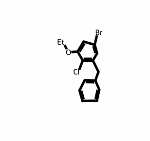 CCOc1cc(Br)cc(Cc2ccccc2)c1Cl